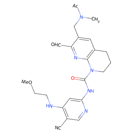 COCCNc1cc(NC(=O)N2CCCc3cc(CN(C)C(C)=O)c(C=O)nc32)ncc1C#N